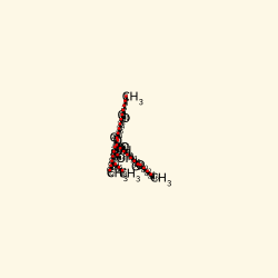 CCCCCCCCOC(=O)CCCCCCCCC(=O)OCC(COC(=O)CCCCCCCCC(=O)OCCCCCCCC)C[C@@H](O)CN(CCO)CCCC(CCCC)CCCCCC